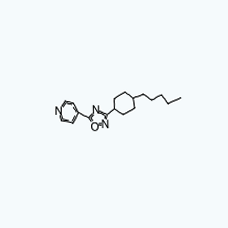 CCCCCC1CCC(c2noc(-c3ccncc3)n2)CC1